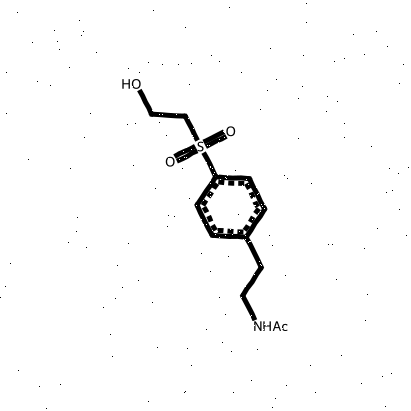 CC(=O)NCCc1ccc(S(=O)(=O)CCO)cc1